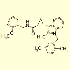 COc1ccccc1CNC(=O)[C@H]1C[C@@H]1c1c(C)n(Cc2cc(C)ccc2C)c2ccccc12